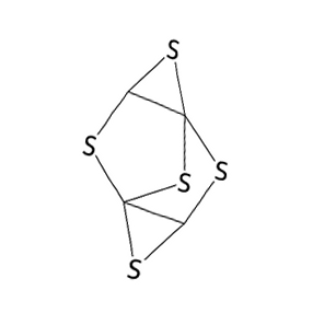 S1C2SC34SC3SC12S4